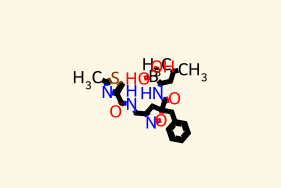 Cc1nc(C(=O)NCC2=NOC(Cc3ccccc3)(C(=O)NC(CC(C)C)B(O)O)C2)cs1